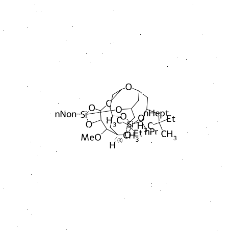 CCCCCCCCC[Si]12OC(CC(C)(C)CC)CC3CC(CC(C)(C)CC)O[Si]4(C(CCC)CCCCCCC)OC5CCC(CC(O1)C(O2)C(OC)[C@@H](C5)O4)O3